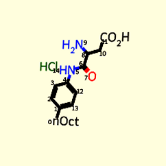 CCCCCCCCc1ccc(NC(=O)C(N)CC(=O)O)cc1.Cl